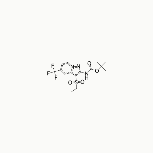 CCS(=O)(=O)c1c(NC(=O)OC(C)(C)C)nn2ccc(C(F)(F)F)cc12